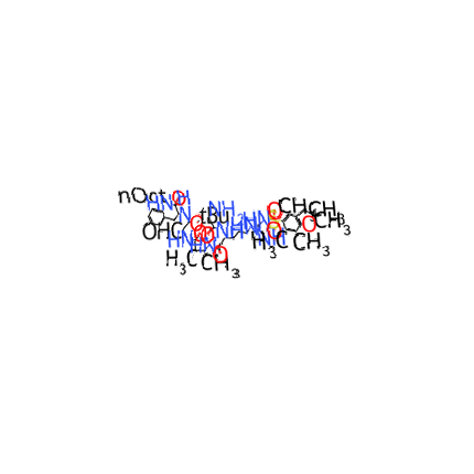 CCCCCCCCNC(=O)[C@H](Cc1ccccc1)N[C@@H](OC(C)(C)C)C(C=O)NC(=O)[C@@H](C)C(C)NC(=O)[C@H](CCCNC(=N)NS(=O)(=O)c1c(C)c(C)c2c(c1C)CC(C)(C)O2)NC(=O)CN